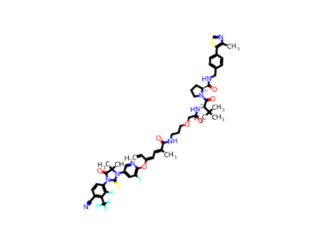 C=C/C(=C\C=C(/C)C(=O)NCCCOCC(=O)N[C@H](C(=O)N1CCC[C@H]1C(=O)NCc1ccc(-c2scnc2C)cc1)C(C)(C)C)Oc1ncc(N2C(=S)N(c3ccc(C#N)c(C(F)(F)F)c3F)C(=O)C2(C)C)cc1F